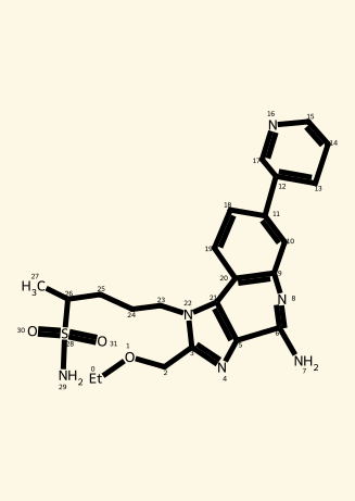 CCOCc1nc2c(N)nc3cc(-c4cccnc4)ccc3c2n1CCCC(C)S(N)(=O)=O